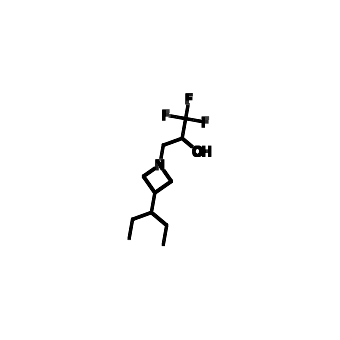 CCC(CC)C1CN(CC(O)C(F)(F)F)C1